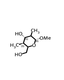 CO[C@@H]1OC(CO)[C@@H](C)[C@H](O)C1C